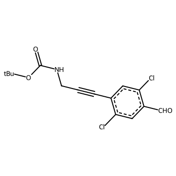 CC(C)(C)OC(=O)NCC#Cc1cc(Cl)c(C=O)cc1Cl